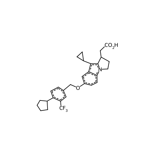 O=C(O)CC1CCn2c1c(C1CC1)c1cc(OCc3ccc(C4CCCC4)c(C(F)(F)F)c3)ccc12